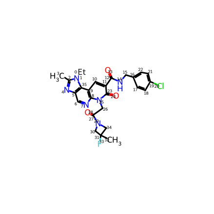 CCn1c(C)nc2cnc3c(cc(C(=O)NCc4ccc(Cl)cc4)c(=O)n3CC(=O)N3CC(C)(F)C3)c21